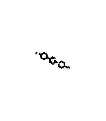 CC(C)C1CCC(c2cnc(N3CCC(C(C)C)CC3)nc2)CC1